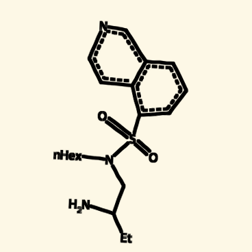 CCCCCCN(CC(N)CC)S(=O)(=O)c1cccc2cnccc12